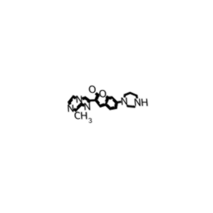 Cc1nccn2cc(-c3cc4ccc(N5CCCNCC5)cc4oc3=O)nc12